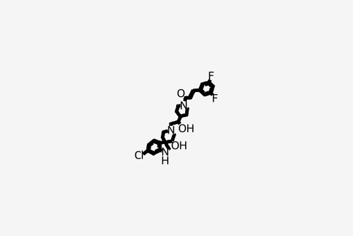 O=C(/C=C/c1cc(F)cc(F)c1)N1CCC(C(O)CN2CCC3(CNc4cc(Cl)ccc43)C(O)C2)CC1